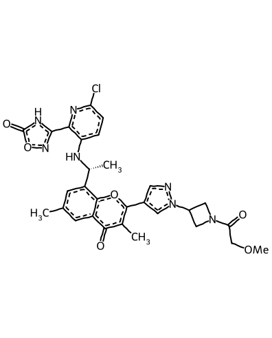 COCC(=O)N1CC(n2cc(-c3oc4c([C@@H](C)Nc5ccc(Cl)nc5-c5noc(=O)[nH]5)cc(C)cc4c(=O)c3C)cn2)C1